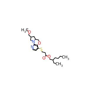 CCCCC(CC)COC(=O)CCSc1ccnc2c1OCC1CC(COC)CN21